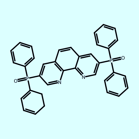 O=P(C1=CC=CCC1)(c1ccccc1)c1cnc2c(ccc3cc(P(=O)(c4ccccc4)c4ccccc4)cnc32)c1